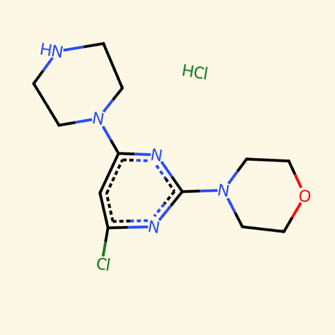 Cl.Clc1cc(N2CCNCC2)nc(N2CCOCC2)n1